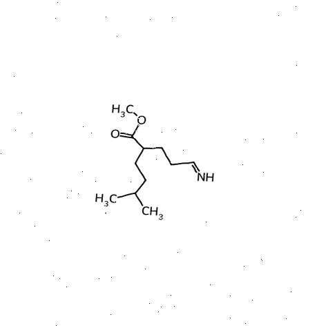 COC(=O)C(CCC=N)CCC(C)C